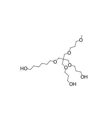 COCCCOCC(COCCCO)(COCCCO)COCCCCCCO